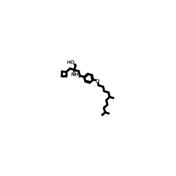 CC(C)CCCC(C)CCCCOc1ccc(CC[C@@](N)(CO)CC2CCC2)cc1